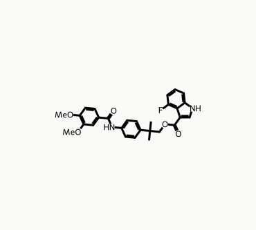 COc1ccc(C(=O)Nc2ccc(C(C)(C)COC(=O)c3c[nH]c4cccc(F)c34)cc2)cc1OC